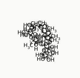 CC[C@@H]1OC(O[C@H]2[C@H](O[C@H](CC[C@@H](C)C3CC[C@@]4(C)C5CC=C6C(CC[C@H](O[C@@H]7O[C@H](CO)[C@@H](O[C@@H]8O[C@H](CO)[C@@H](O)[C@H](O)[C@H]8O)[C@H](O)[C@H]7O)C6(C)C)[C@]5(C)C=C[C@]34C)C(C)(C)O)O[C@H](CO)[C@@H](O)[C@@H]2O)[C@@H](O)[C@H](O)[C@H]1O